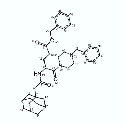 O=C(CC12CC3CC(CC(C3)C1)C2)N[C@@H](CCC(=O)OCc1ccccc1)C(=O)N1CCN(Cc2ccccc2)CC1